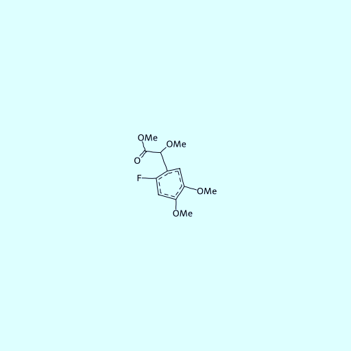 COC(=O)C(OC)c1cc(OC)c(OC)cc1F